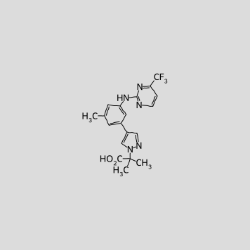 Cc1cc(Nc2nccc(C(F)(F)F)n2)cc(-c2cnn(C(C)(C)C(=O)O)c2)c1